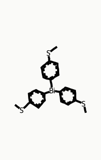 CSc1cc[c]([Bi]([c]2ccc(SC)cc2)[c]2ccc(SC)cc2)cc1